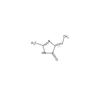 C/C=C1\N=C(C)NC1=O